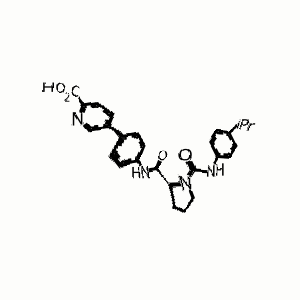 CC(C)c1ccc(NC(=O)N2CCC[C@H]2C(=O)Nc2ccc(-c3ccc(C(=O)O)nc3)cc2)cc1